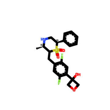 C[C@@H]1NC[C@@H](c2ccccc2)S(=O)(=O)C1Cc1cc(F)c(C2(O)COC2)cc1F